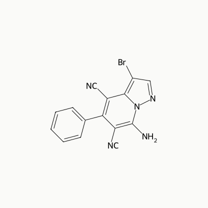 [C-]#[N+]c1c(-c2ccccc2)c(C#N)c2c(Br)cnn2c1N